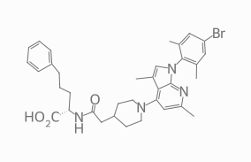 Cc1cc(N2CCC(CC(=O)N[C@@H](CCCc3ccccc3)C(=O)O)CC2)c2c(C)cn(-c3c(C)cc(Br)cc3C)c2n1